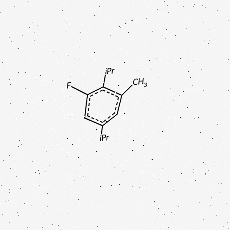 Cc1cc(C(C)C)cc(F)c1C(C)C